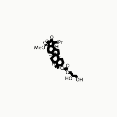 COC(=O)[C@@]12CC[C@]3(C)[C@H](CCC4[C@@]5(C)CC[C@H](OC(=O)OCC(O)CO)C(C)(C)[C@@H]5CC[C@]43C)C1=C(C(C)C)C(=O)C2=O